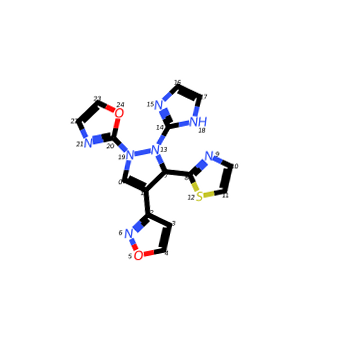 [C]1=C(c2ccon2)C(c2nccs2)N(c2ncc[nH]2)N1c1ncco1